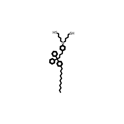 CCCCCCCCCCCc1ccc(C(CCCc2ccc(N(CCCCS)CCCCS)cc2)(c2ccccc2)c2ccccc2)cc1